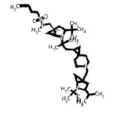 C=CCCS(=O)(=O)N(C)C[C@@]12CC(C(C)(C)C)N(C(C)(C)CC3CC34CCN(CC35CC(C(C)C)N(C(C)(C)C)C3C5)CC4)C1C2